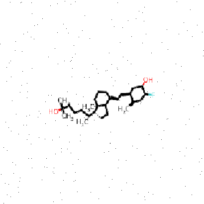 C=C1CC(F)[C@H](O)C/C1=C/C=C1CCC[C@@]2(C)C1CC[C@@H]2[C@H](C)CCCC(C)(C)O